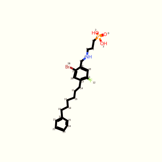 O=P(O)(O)CCCNCc1cc(F)c(CCCCCCc2ccccc2)cc1Br